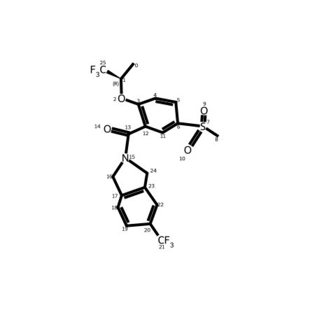 C[C@@H](Oc1ccc(S(C)(=O)=O)cc1C(=O)N1Cc2ccc(C(F)(F)F)cc2C1)C(F)(F)F